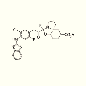 O=C(O)C1CCC(OC(F)(C(=O)Cc2cc(Cl)c(Nc3nc4ccccc4s3)cc2F)N2CCCC2)CC1